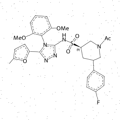 COc1cccc(OC)c1-n1c(NS(=O)(=O)[C@@H]2CC(c3ccc(F)cc3)CN(C(C)=O)C2)nnc1-c1ccc(C)o1